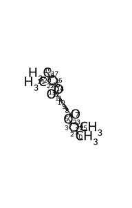 Cc1ccc(OC(=O)C#CC#CC(=O)Oc2ccc(C)c(C)c2)cc1C